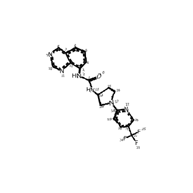 O=C(Nc1cccc2cncnc12)NC1CCN(c2ccc(C(F)(F)F)cn2)C1